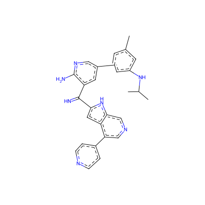 Cc1cc(NC(C)C)cc(-c2cnc(N)c(C(=N)c3cc4c(-c5ccncc5)cncc4[nH]3)c2)c1